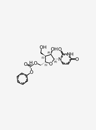 O=c1ccn([C@@H]2O[C@H](CO[PH](=O)Oc3ccccc3)[C@@H](CO)[C@H]2O)c(=O)[nH]1